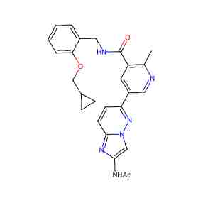 CC(=O)Nc1cn2nc(-c3cnc(C)c(C(=O)NCc4ccccc4OCC4CC4)c3)ccc2n1